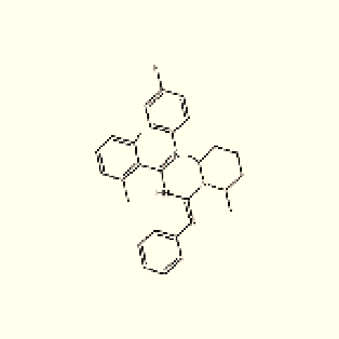 Cc1cccc(C)c1/C(=N\c1ccc(F)cc1)N/C(=N\c1ccccc1)N1C(C)CCCC1C